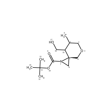 CC1COC[C@]2(CN2C(=O)OC(C)(C)C)C1CO